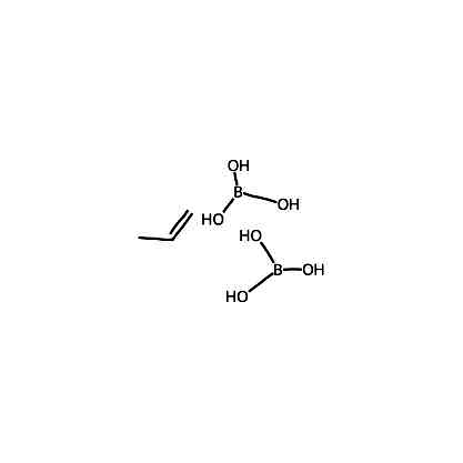 C=CC.OB(O)O.OB(O)O